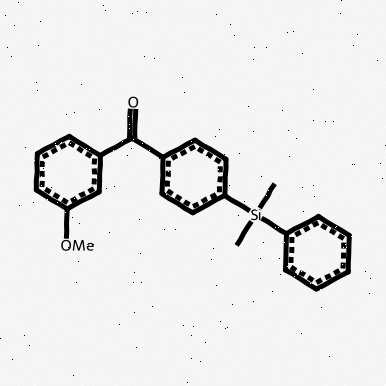 COc1cccc(C(=O)c2ccc([Si](C)(C)c3ccccc3)cc2)c1